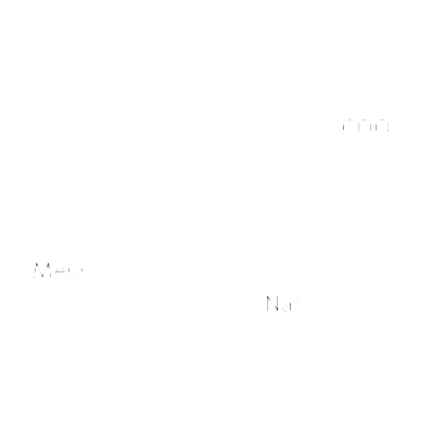 COc1ccc(C(C)=CC(=O)[O-])cc1.[Na+]